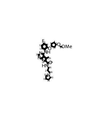 COCO[C@H]1CC[C@H](Oc2cc(F)ccc2Nc2ncnc3sc(C(=O)NCCCN4CCCC4)c(C)c23)C1